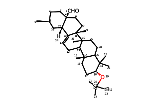 C[C@H]1CC[C@]2(C=O)CC[C@@]3(C)C(=CCC4[C@@]5(C)CC[C@H](O[Si](C)(C)C(C)(C)C)C(C)(C)C5CC[C@]43C)[C@@H]2C1